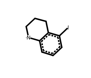 Ic1cccc2c1CCC[N]2